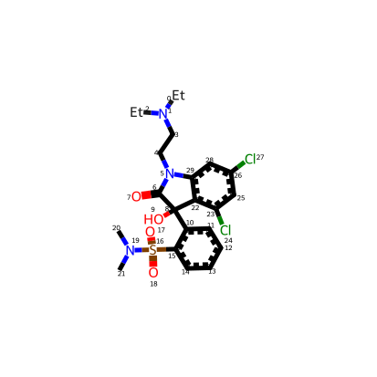 CCN(CC)CCN1C(=O)C(O)(c2ccccc2S(=O)(=O)N(C)C)c2c(Cl)cc(Cl)cc21